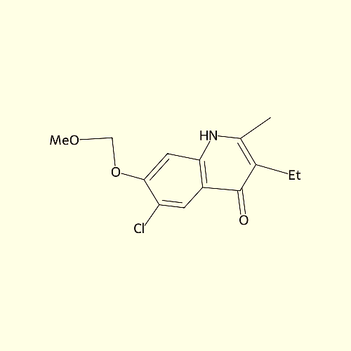 CCc1c(C)[nH]c2cc(OCOC)c(Cl)cc2c1=O